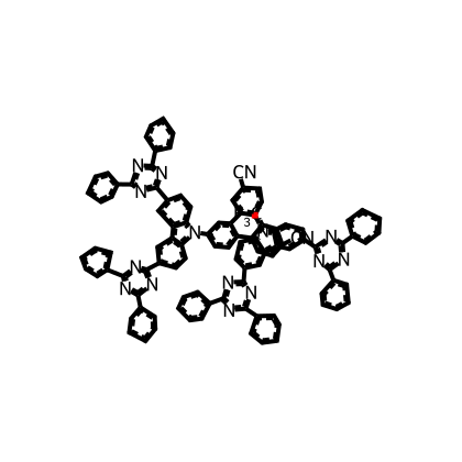 N#Cc1ccc(-n2c3ccc(-c4nc(-c5ccccc5)nc(-c5ccccc5)n4)cc3c3cc(-c4nc(-c5ccccc5)nc(-c5ccccc5)n4)ccc32)c(-c2cc(-n3c4ccc(-c5nc(-c6ccccc6)nc(-c6ccccc6)n5)cc4c4cc(-c5nc(-c6ccccc6)nc(-c6ccccc6)n5)ccc43)ccc2-c2ccc(C#N)cc2C(F)(F)F)c1